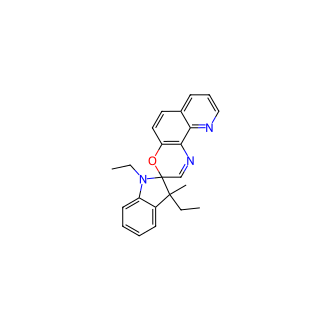 CCN1c2ccccc2C(C)(CC)C12C=Nc1c(ccc3cccnc13)O2